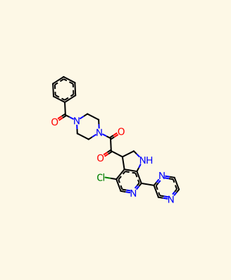 O=C(C(=O)N1CCN(C(=O)c2ccccc2)CC1)C1CNc2c(-c3cnccn3)ncc(Cl)c21